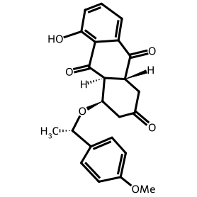 COc1ccc([C@H](C)O[C@@H]2CC(=O)C[C@H]3C(=O)c4cccc(O)c4C(=O)[C@H]23)cc1